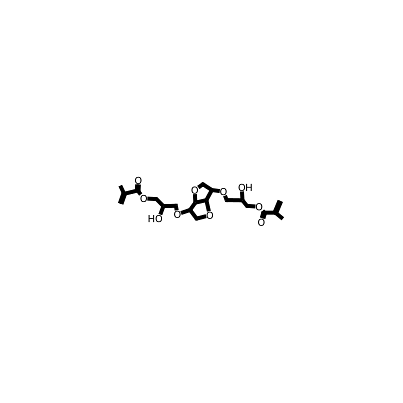 C=C(C)C(=O)OCC(O)COC1COC2C(OCC(O)COC(=O)C(=C)C)COC12